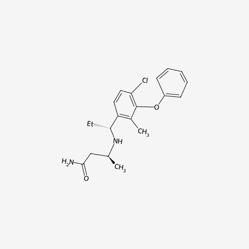 CC[C@@H](N[C@@H](C)CC(N)=O)c1ccc(Cl)c(Oc2ccccc2)c1C